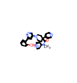 CN(C(=O)C1(c2ccncc2)CCN(c2cnnc(-c3ccccc3O)c2)CC1)C1CCNCC1